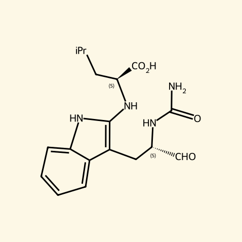 CC(C)C[C@H](Nc1[nH]c2ccccc2c1C[C@@H](C=O)NC(N)=O)C(=O)O